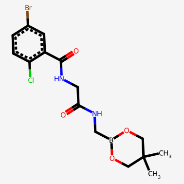 CC1(C)COB(CNC(=O)CNC(=O)c2cc(Br)ccc2Cl)OC1